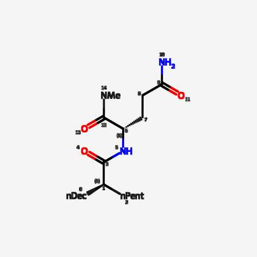 CCCCCCCCCC[C@H](CCCCC)C(=O)N[C@@H](CCC(N)=O)C(=O)NC